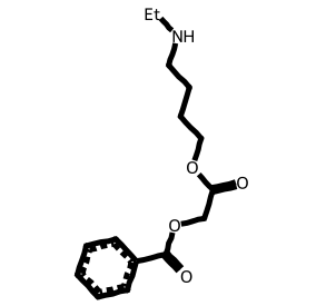 CCNCCCCOC(=O)COC(=O)c1ccccc1